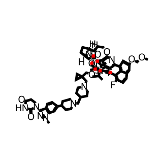 COCOc1cc(-c2nc3c4c(nc(OCC5(CN6CCC(CN7CCC(c8ccc9c(N%10CCC(=O)NC%10=O)nn(C)c9c8)CC7)CC6)CC5)nc4c2F)N2C[C@H]4CC[C@@H]([C@H]2CCO3)N4C(=O)O)c2c(C#C[Si](C(C)C)(C(C)C)C(C)C)c(F)ccc2c1